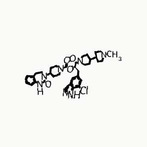 CN1CCC(C2CCN(C(=O)[C@@H](Cc3cc(Cl)c4[nH]ncc4c3)OC(=O)N3CCC(N4CCc5ccccc5NC4=O)CC3)CC2)CC1